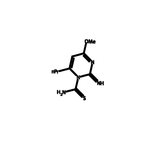 CCCc1cc(OC)nc(=N)n1C(N)=S